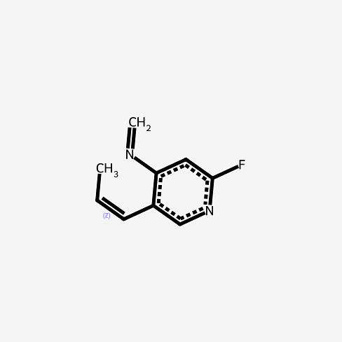 C=Nc1cc(F)ncc1/C=C\C